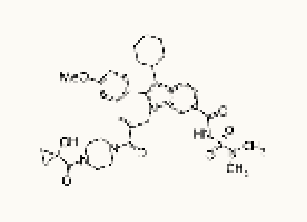 COc1ccc2c(c1)C=C(C(=O)N1CCN(C(=O)C3(O)CC3)CC1)Cn1c-2c(C2CCCCC2)c2ccc(C(=O)NS(=O)(=O)N(C)C)cc21